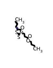 CC=C/C=C1/SC(=S)N(CCC(=O)OCCCC)C1=O